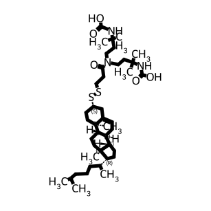 CC(C)CCCC(C)[C@H]1CC[C@H]2[C@@H]3CC=C4C[C@@H](SSCCC(=O)N(CCC(C)(C)NC(=O)O)CCC(C)(C)NC(=O)O)CC[C@]4(C)[C@H]3CC[C@]12C